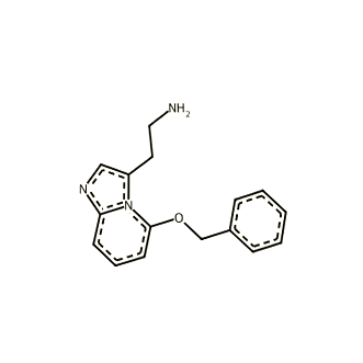 NCCc1cnc2cccc(OCc3ccccc3)n12